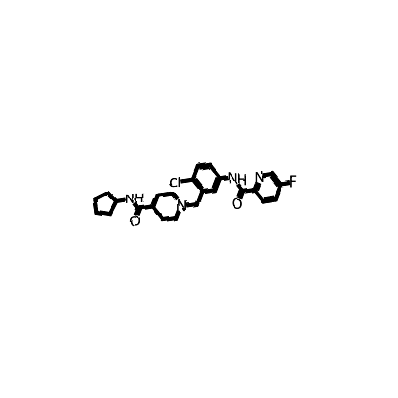 O=C(Nc1ccc(Cl)c(CN2CCC(C(=O)NC3CCCC3)CC2)c1)c1ccc(F)cn1